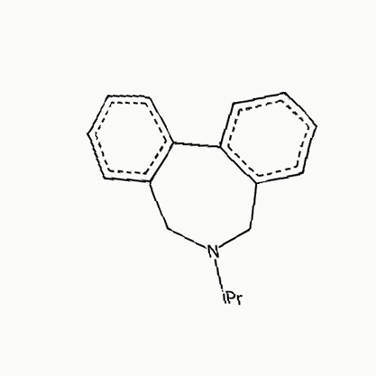 CC(C)N1Cc2ccccc2-c2ccccc2C1